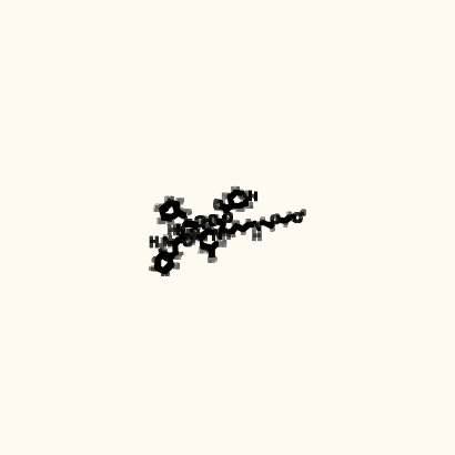 COCCOCCNCCCC[C@@H](NC(=O)[C@@H](CC(C)C)NC(=O)[C@@H](Cc1ccccc1)NC(=O)[C@H](N)Cc1ccccc1)C(=O)OC(=O)C1CCNCC1